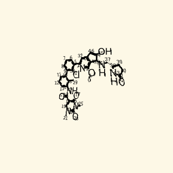 COc1nc(-c2cccc(-c3cccc(NC(=O)c4cn(C)c(=O)n(C)c4=O)c3C)c2Cl)cc2c1C(NC[C@@H]1CCC(=O)N1)C(O)=C2